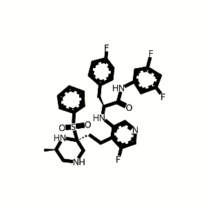 C[C@@H]1CNC[C@](CCc2c(F)cncc2N[C@@H](Cc2ccc(F)cc2)C(=O)Nc2cc(F)cc(F)c2)(S(=O)(=O)c2ccccc2)N1